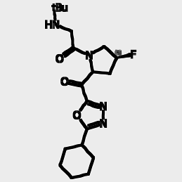 CC(C)(C)NCC(=O)N1C[C@@H](F)CC1C(=O)c1nnc(C2CCCCC2)o1